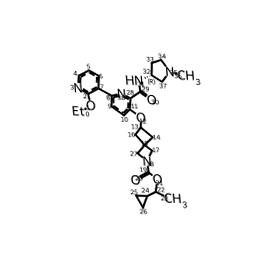 CCOc1ncccc1-c1ccc(OC2CC3(C2)CN(C(=O)OC(C)C2CC2)C3)c(C(=O)N[C@@H]2CCN(C)C2)n1